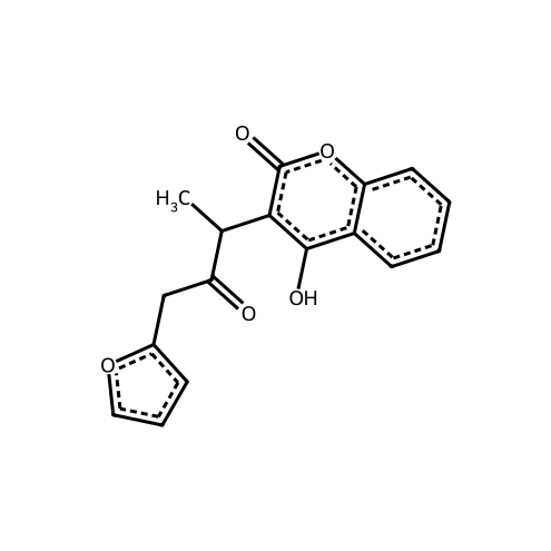 CC(C(=O)Cc1ccco1)c1c(O)c2ccccc2oc1=O